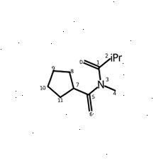 C=C(C(C)C)N(C)C(=C)C1CCCC1